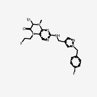 CCC1C(=O)N(CCF)c2cnc(NCc3cnn(Cc4ccc(F)cc4)c3)nc2N1C